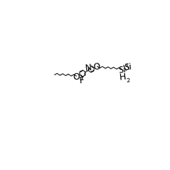 CCCCCCCCOc1ccc(-c2ccc(OCCCCCCCC[SiH2]C(C)(C)[Si](C)(C)C)cn2)cc1F